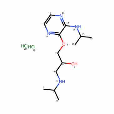 CC(C)NCC(O)COc1nccnc1NC(C)C.Cl.Cl